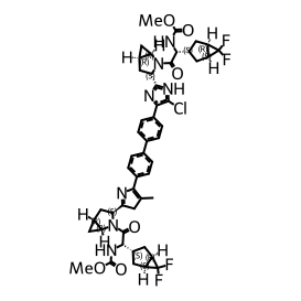 COC(=O)NC(C(=O)N1[C@@H]2C[C@@H]2C[C@H]1C1=NC(c2ccc(-c3ccc(-c4nc([C@@H]5C[C@H]6C[C@H]6N5C(=O)C(NC(=O)OC)[C@@H]5C[C@@H]6[C@H](C5)C6(F)F)[nH]c4Cl)cc3)cc2)=C(C)C1)[C@@H]1C[C@@H]2[C@H](C1)C2(F)F